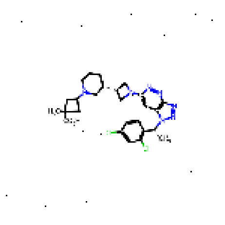 C[C@H](c1ccc(Cl)cc1Cl)n1nnc2nnc(N3CC([C@H]4CCCN(C5CC(C)(C(=O)O)C5)C4)C3)cc21